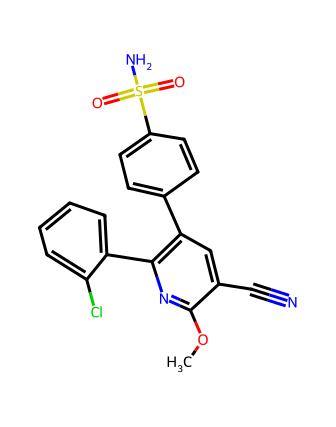 COc1nc(-c2ccccc2Cl)c(-c2ccc(S(N)(=O)=O)cc2)cc1C#N